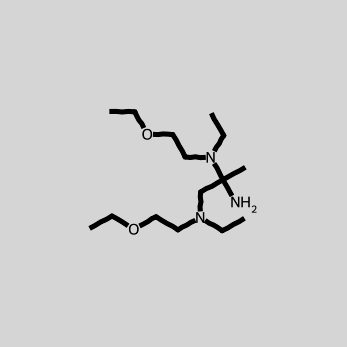 CCOCCN(CC)CC(C)(N)N(CC)CCOCC